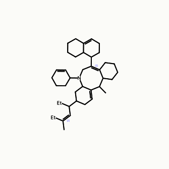 CC/C(C)=C\C(CC)C1CC=C2C(C)C3CCCC/C3=C(\C3CCC=C4CCCCC43)CN(C3C=CCCC3)C2C1